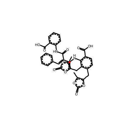 Cc1oc(=O)oc1Cc1ccc(C(=O)O)c(NC(=O)C(=Cc2ccccc2)C(=O)Nc2ccccc2C(=O)O)c1Cc1oc(=O)oc1C